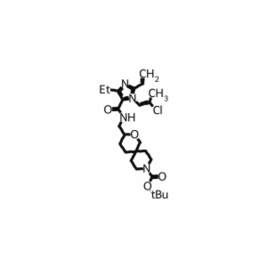 C=Cc1nc(CC)c(C(=O)NCC2CCC3(CCN(C(=O)OC(C)(C)C)CC3)CO2)n1/C=C(\C)Cl